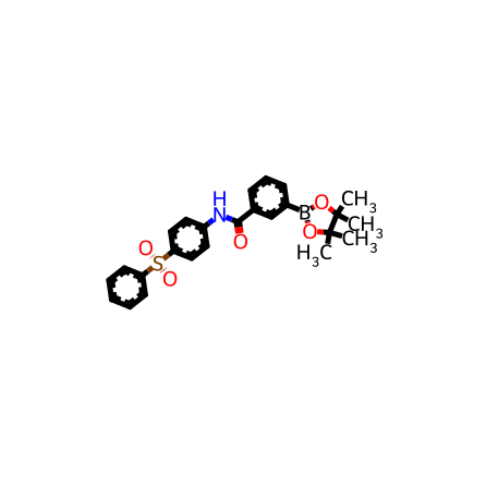 CC1(C)OB(c2cccc(C(=O)Nc3ccc(S(=O)(=O)c4ccccc4)cc3)c2)OC1(C)C